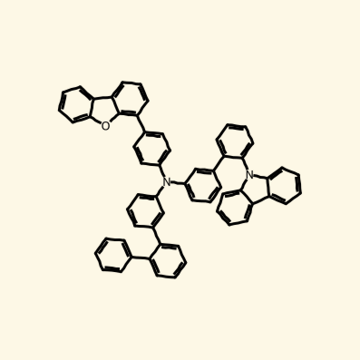 c1ccc(-c2ccccc2-c2cccc(N(c3ccc(-c4cccc5c4oc4ccccc45)cc3)c3cccc(-c4ccccc4-n4c5ccccc5c5ccccc54)c3)c2)cc1